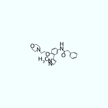 Cn1nccc1-c1cc(NC(=O)Cc2ccccc2)ccc1OCCN1CCOCC1